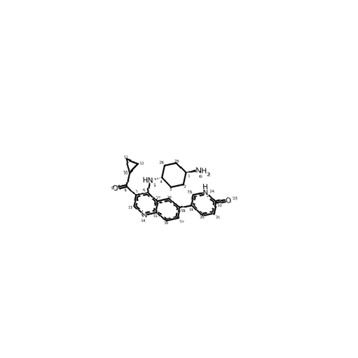 N[C@H]1CC[C@H](Nc2c(C(=O)C3CC3)cnc3ccc(-c4ccc(=O)[nH]c4)cc23)CC1